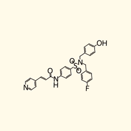 O=C(/C=C/c1ccncc1)Nc1ccc(S(=O)(=O)N(Cc2ccc(O)cc2)Cc2ccc(F)cc2)cc1